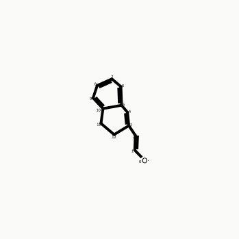 [O]/C=C/C1=Cc2ccccc2CC1